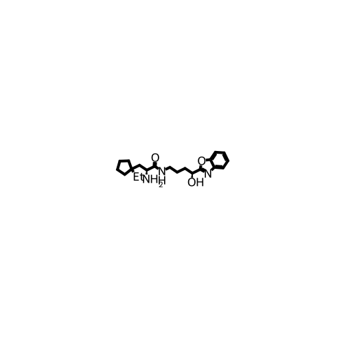 CCC1(C[C@H](N)C(=O)NCCC[C@H](O)c2nc3ccccc3o2)CCCC1